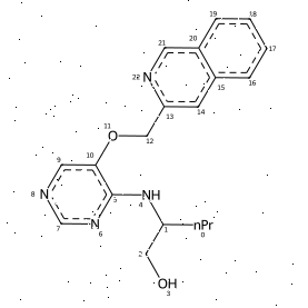 CCCC(CO)Nc1ncncc1OCc1cc2ccccc2cn1